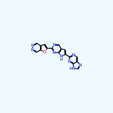 c1nc2cnc(-c3cc4cnc(-c5cc6cnncc6o5)nc4[nH]3)nc2[nH]1